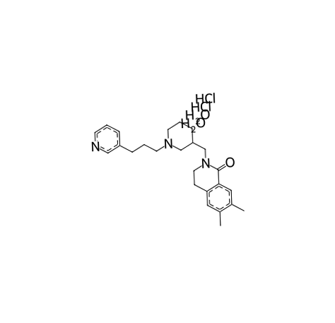 Cc1cc2c(cc1C)C(=O)N(CC1CCCN(CCCc3cccnc3)C1)CC2.Cl.Cl.O.O